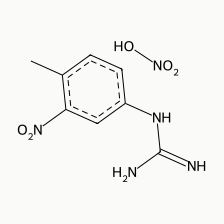 Cc1ccc(NC(=N)N)cc1[N+](=O)[O-].O=[N+]([O-])O